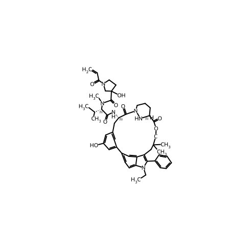 C=CC(=O)N1CCC(O)(C(=O)N(C)[C@H](C(=O)N[C@H]2Cc3cc(O)cc(c3)-c3ccc4c(c3)c(c(-c3ccccc3)n4CC)CC(C)(C)COC(=O)[C@@H]3CCCN(N3)C2=O)C(C)C)C1